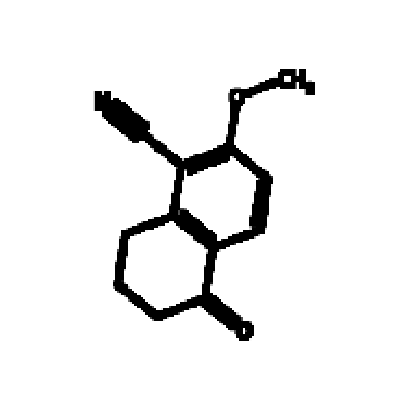 COc1ccc2c(c1C#N)CCCC2=O